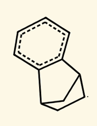 [CH]1CC2CC1c1ccccc12